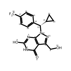 O=c1[nH]c(O)nc2c1c(CO)nn2[C@H](c1ccc(C(F)(F)F)cc1)C1CC1